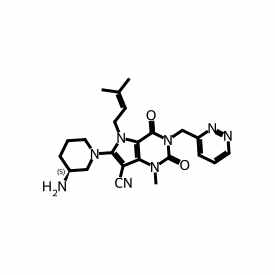 CC(C)=CCn1c(N2CCC[C@H](N)C2)c(C#N)c2c1c(=O)n(Cc1cccnn1)c(=O)n2C